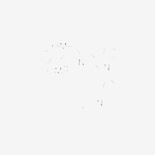 COc1cccc(OC)c1-c1ccc2c(c1)sc(C=C1C=CN(Cc3ccc(CN4CCOCC4)cc3)c3ccccc31)[n+]2C